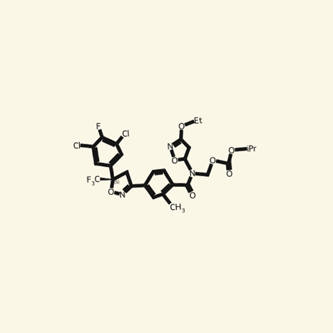 CCOC1=NOC(N(COC(=O)OC(C)C)C(=O)c2ccc(C3=NO[C@@](c4cc(Cl)c(F)c(Cl)c4)(C(F)(F)F)C3)cc2C)C1